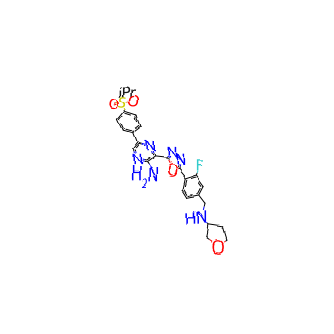 CC(C)S(=O)(=O)c1ccc(-c2cnc(N)c(-c3nnc(-c4ccc(CNC5CCOC5)cc4F)o3)n2)cc1